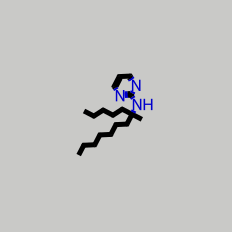 CCCCCCCC(C)(CCCCC)Nc1ncccn1